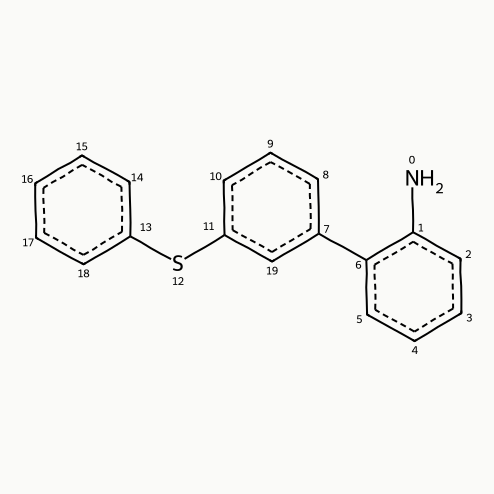 Nc1ccccc1-c1cccc(Sc2ccccc2)c1